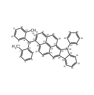 Cc1ccccc1N(c1ccccc1C)c1ccc2ccc3c4c(ccc1c24)cc1c2ccccc2n(-c2ccccc2)c13